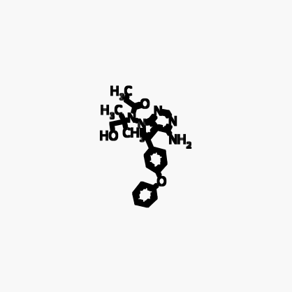 CCC(=O)N(n1cc(-c2ccc(Oc3ccccc3)cc2)c2c(N)ncnc21)C(C)(C)CO